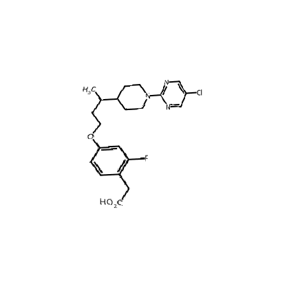 CC(CCOc1ccc(CC(=O)O)c(F)c1)C1CCN(c2ncc(Cl)cn2)CC1